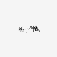 NC1=NC=NC(N)N1NCCCCCCCCCCCCNN1C(N)=NC=NC1N